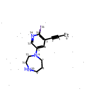 CCC#Cc1cc(N2CCCNCC2)cnc1I